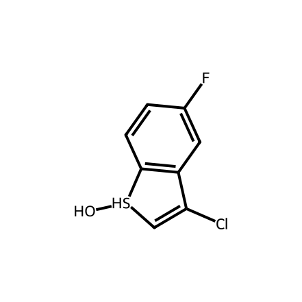 O[SH]1C=C(Cl)c2cc(F)ccc21